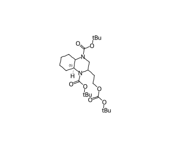 CC(C)(C)OC(=O)OCCC1CN(C(=O)OC(C)(C)C)C2CCCC[C@@H]2N1C(=O)OC(C)(C)C